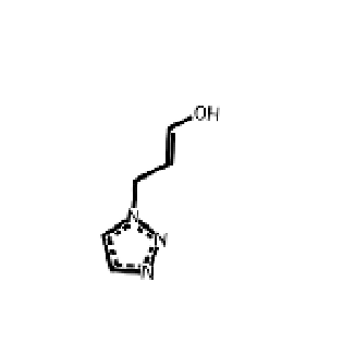 OC=CCn1ccnn1